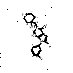 O=c1c2cc(Cl)n(-c3cccc(Br)c3)c2ncn1CC1(O)CCNCC1